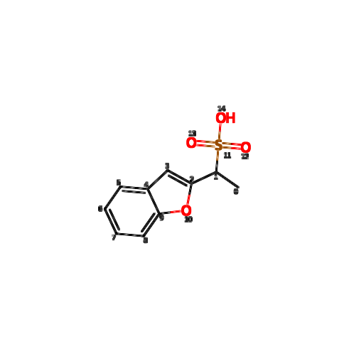 CC(c1cc2ccccc2o1)S(=O)(=O)O